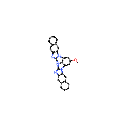 COc1cc2c3c(c1)n1c4cc5ccccc5cc4nc1n3c1nc3cc4ccccc4cc3n21